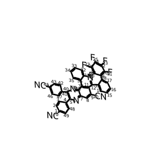 N#Cc1ccc(-c2nc3cc(C#N)c4c(-c5ccccc5-c5c(F)c(F)c(F)c(F)c5F)nc5ccccc5c4c3nc2-c2ccc(C#N)cc2)cc1